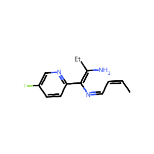 C\C=C/C=N\C(=C(/N)CC)c1ccc(F)cn1